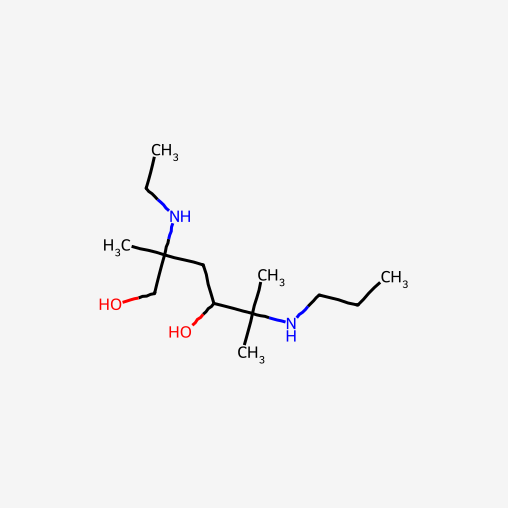 CCCNC(C)(C)C(O)CC(C)(CO)NCC